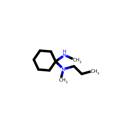 CCCN(C)C1(NC)CCCCC1